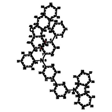 c1ccc(-c2ccc(N(c3ccc(-c4cccc(-n5c6ccccc6c6ccccc65)c4)cc3)c3ccccc3-c3ccc4c(c3)oc3cc5ccccc5cc34)cc2)cc1